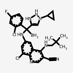 BC(Nc1cc(Cl)c2ncc(C#N)c(NCC(C)(C)C)c2c1)(C1=CN(C2CC2)NN1)c1ccc(F)cc1Cl